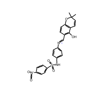 CC1(C)C=Cc2c(ccc(/C=N/c3ccc(NS(=O)(=O)c4ccc([N+](=O)[O-])cc4)cc3)c2O)O1